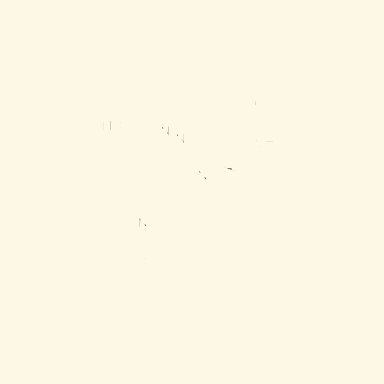 Cc1c([C@@H](C)Nc2nnc(C)c3ccc(N4CC(O)C4)cc23)cccc1C(F)(F)F